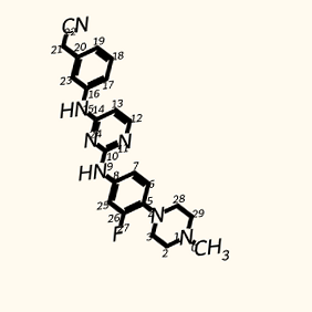 CN1CCN(c2ccc(Nc3nccc(Nc4cccc(CC#N)c4)n3)cc2F)CC1